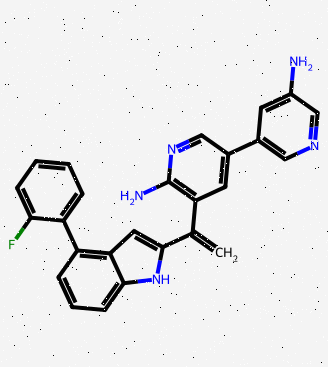 C=C(c1cc2c(-c3ccccc3F)cccc2[nH]1)c1cc(-c2cncc(N)c2)cnc1N